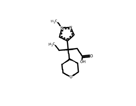 CCC(CC(=O)O)(c1cnn(C)c1)C1CCOCC1